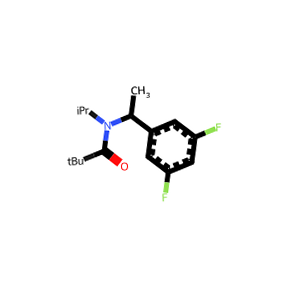 CC(C)N(C(=O)C(C)(C)C)C(C)c1cc(F)cc(F)c1